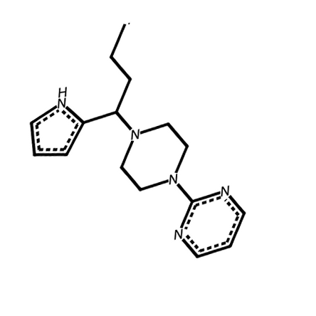 [CH2]CCC(c1ccc[nH]1)N1CCN(c2ncccn2)CC1